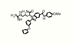 COc1ccc(NC(=O)c2ccc3c(c2)nc(-c2cccc(Sc4ccccc4)c2)n3[C@@H](CCCNC(=N)N)C(N)=O)cc1